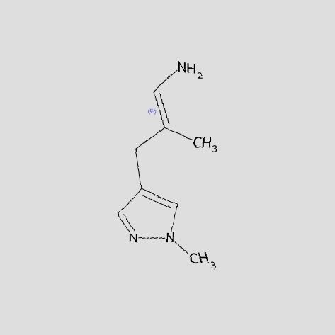 C/C(=C\N)Cc1cnn(C)c1